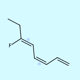 C=C/C=C\C=C(/F)CC